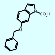 O=C(O)n1ccc2ccc(OCc3ccccc3)cc21